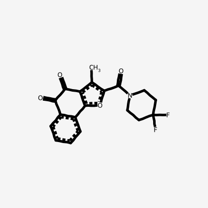 Cc1c(C(=O)N2CCC(F)(F)CC2)oc2c1C(=O)C(=O)c1ccccc1-2